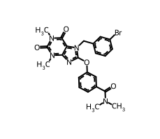 CN(C)C(=O)c1cccc(Oc2nc3c(c(=O)n(C)c(=O)n3C)n2Cc2cccc(Br)c2)c1